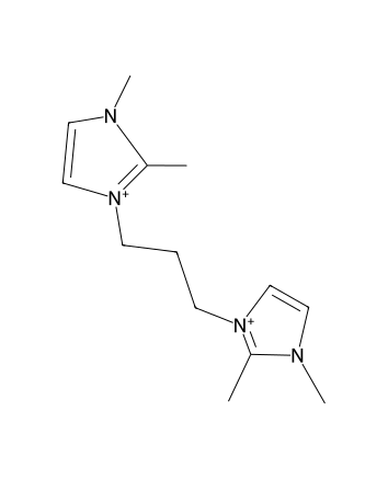 Cc1n(C)cc[n+]1CCC[n+]1ccn(C)c1C